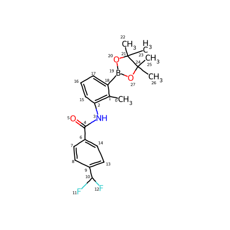 Cc1c(NC(=O)c2ccc(C(F)F)cc2)cccc1B1OC(C)(C)C(C)(C)O1